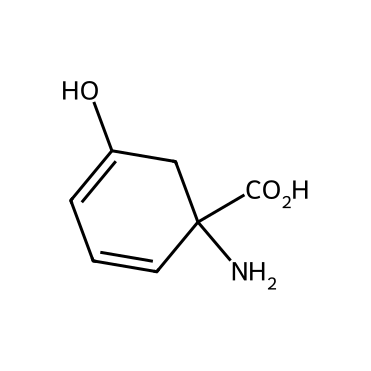 NC1(C(=O)O)C=CC=C(O)C1